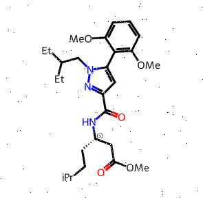 CCC(CC)Cn1nc(C(=O)N[C@@H](CCC(C)C)CC(=O)OC)cc1-c1c(OC)cccc1OC